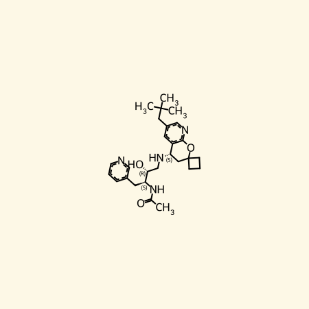 CC(=O)N[C@@H](Cc1cccnc1)[C@H](O)CN[C@H]1CC2(CCC2)Oc2ncc(CC(C)(C)C)cc21